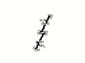 N[C@@H](CCC(=O)O)C(=O)NCCCCC1NC(=O)C(CCCCNC(=O)[C@@H](N)CCC(=O)O)NC1=O